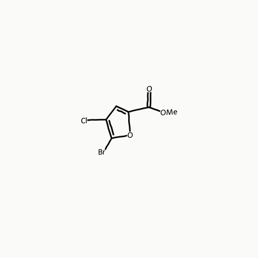 COC(=O)c1cc(Cl)c(Br)o1